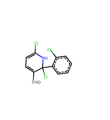 O=CC1=CC=C(Cl)NC1(Cl)c1ccccc1Cl